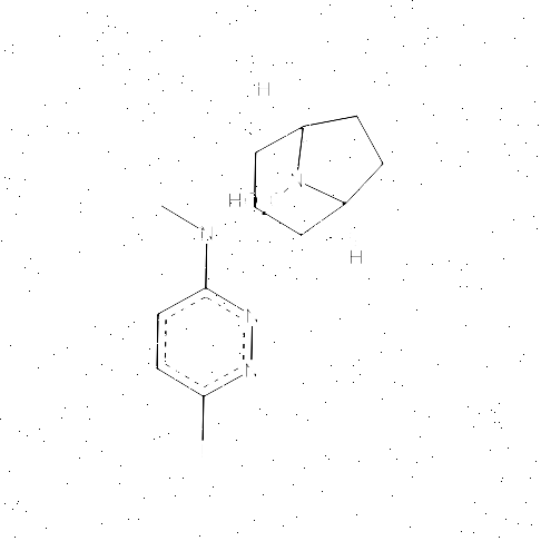 CN(c1ccc(I)nn1)[C@@H]1C[C@H]2CC[C@@H](C1)N2C(=O)O